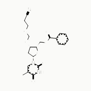 Cc1cn([C@H]2C[C@H](OCOCCC#N)[C@@H](COC(=O)c3ccccc3)O2)c(=O)[nH]c1=O